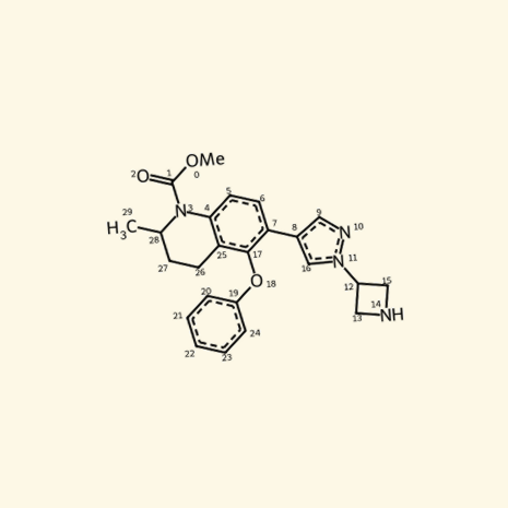 COC(=O)N1c2ccc(-c3cnn(C4CNC4)c3)c(Oc3ccccc3)c2CCC1C